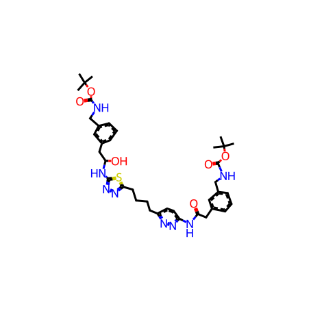 CC(C)(C)OC(=O)NCc1cccc(CC(=O)Nc2ccc(CCCCc3nnc(NC(O)Cc4cccc(CNC(=O)OC(C)(C)C)c4)s3)nn2)c1